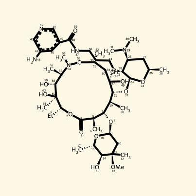 CC[C@H]1OC(=O)[C@H](C)[C@@H](O[C@H]2C[C@@](C)(OC)[C@@H](O)[C@H](C)O2)[C@H](C)[C@@H](O[C@@H]2O[C@H](C)C[C@H](N(C)C)[C@H]2OCCCNC(=O)c2cncc(N)c2)[C@](C)(O)C[C@@H](C)CN(C)[C@H](C)[C@@H](O)[C@]1(C)O